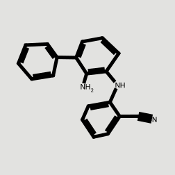 N#Cc1ccccc1Nc1cccc(-c2ccccc2)c1N